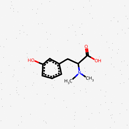 CN(C)C(Cc1cccc(O)c1)C(=O)O